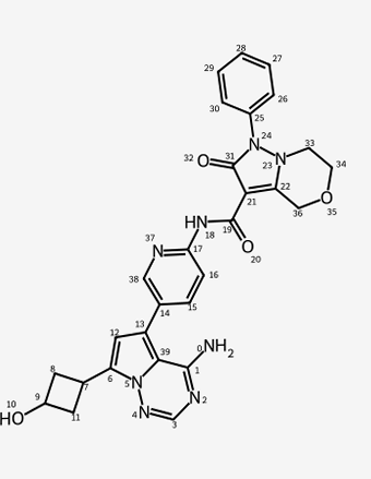 Nc1ncnn2c(C3CC(O)C3)cc(-c3ccc(NC(=O)c4c5n(n(-c6ccccc6)c4=O)CCOC5)nc3)c12